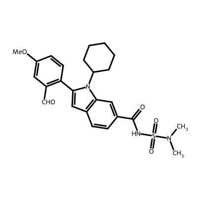 COc1ccc(-c2cc3ccc(C(=O)NS(=O)(=O)N(C)C)cc3n2C2CCCCC2)c(C=O)c1